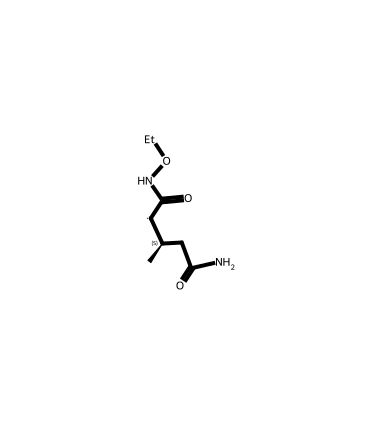 CCONC(=O)[CH][C@H](C)CC(N)=O